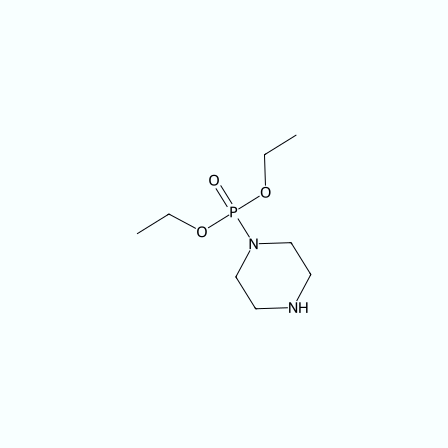 CCOP(=O)(OCC)N1CCNCC1